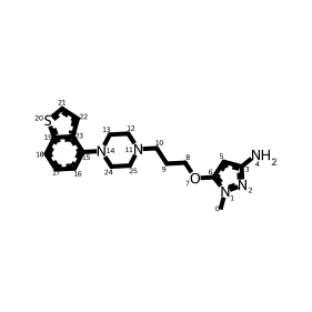 Cn1nc(N)cc1OCCCN1CCN(c2cccc3sccc23)CC1